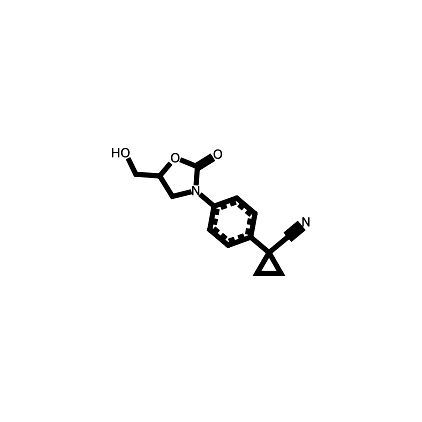 N#CC1(c2ccc(N3CC(CO)OC3=O)cc2)CC1